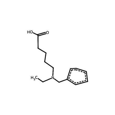 CCN(CCCCC(=O)O)Cc1ccccc1